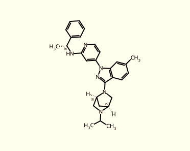 Cc1ccc2c(N3C[C@@H]4C[C@H]3CN4C(C)C)nn(-c3ccnc(N[C@H](C)c4ccccc4)c3)c2c1